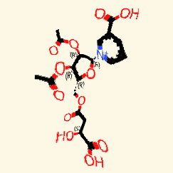 CC(=O)O[C@@H]1[C@H](OC(C)=O)[C@@H](COC(=O)C[C@H](O)C(=O)O)O[C@H]1[n+]1cccc(C(=O)O)c1